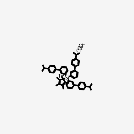 CC1=C(C)[C]([Ti+3])([Si](c2cccc(-c3ccc(C(C)C)cc3)c2)(c2cccc(-c3ccc(C(C)C)cc3)c2)c2cccc(-c3ccc(C(C)C)cc3)c2)C(C)=C1C.[Cl-].[Cl-].[Cl-]